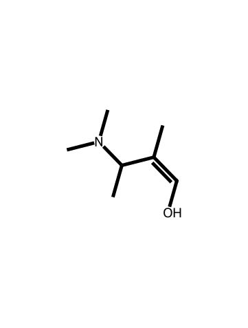 CC(=CO)C(C)N(C)C